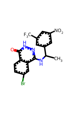 CC(Nc1n[nH]c(=O)c2ccc(Br)cc12)c1cc([N+](=O)[O-])cc(C(F)(F)F)c1